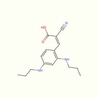 CCCNc1ccc(C=C(C#N)C(=O)O)c(NCCC)c1